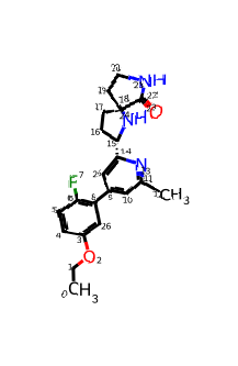 CCOc1ccc(F)c(-c2cc(C)nc([C@@H]3CC[C@]4(CCNC4=O)N3)c2)c1